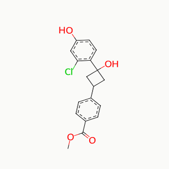 COC(=O)c1ccc(C2CC(O)(c3ccc(O)cc3Cl)C2)cc1